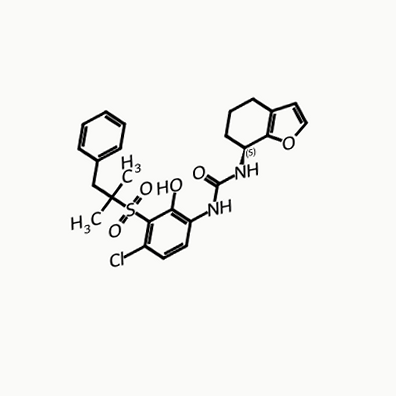 CC(C)(Cc1ccccc1)S(=O)(=O)c1c(Cl)ccc(NC(=O)N[C@H]2CCCc3ccoc32)c1O